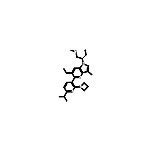 CCc1cc2c(nc1-c1ccc(C(C)C)nc1N1CCC1)c(C)cn2[C@H](CC)COC